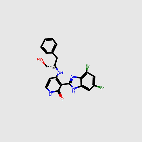 O=c1[nH]ccc(N[C@H](CO)Cc2ccccc2)c1-c1nc2c(Br)cc(Br)cc2[nH]1